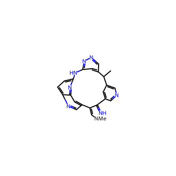 CN/C=C1\C(=N)c2cncc(c2)C(C)c2cnnc(c2)Nc2ccc3ncc1cc3n2